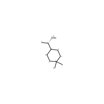 CC(=O)O[C@@H](C)C1CCC(C)(C)CC1